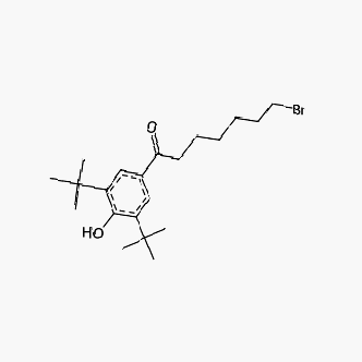 CC(C)(C)c1cc(C(=O)CCCCCCBr)cc(C(C)(C)C)c1O